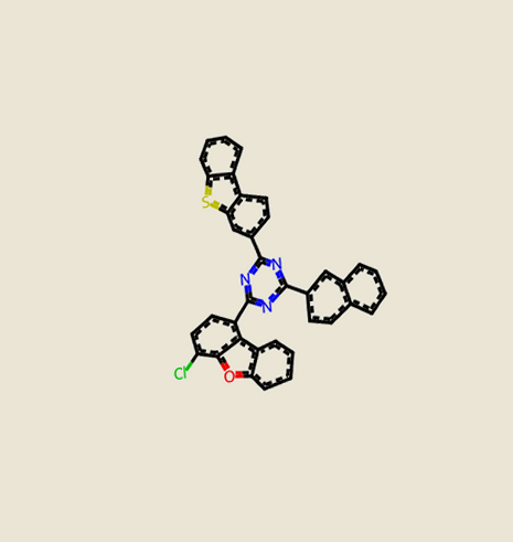 Clc1ccc(-c2nc(-c3ccc4ccccc4c3)nc(-c3ccc4c(c3)sc3ccccc34)n2)c2c1oc1ccccc12